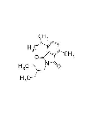 CCC(CC)CN1C(=O)c2c(C)ccc(C(C)C)c2C1=O